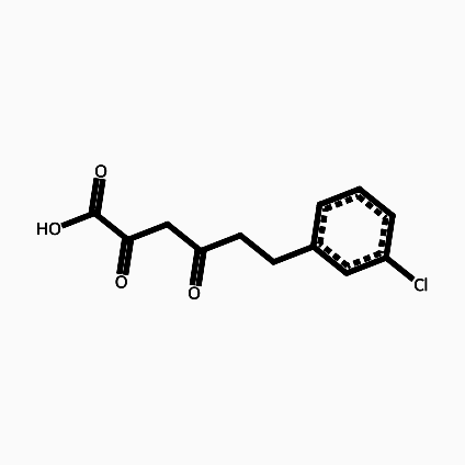 O=C(CCc1cccc(Cl)c1)CC(=O)C(=O)O